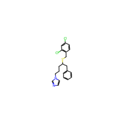 Clc1ccc(CSC(CCCn2ccnc2)Cc2ccccc2)c(Cl)c1